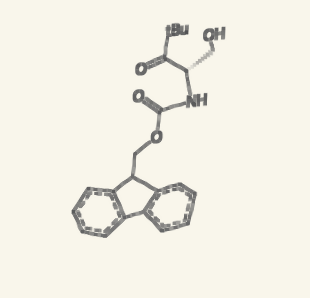 CC(C)(C)C(=O)[C@H](CO)NC(=O)OCC1c2ccccc2-c2ccccc21